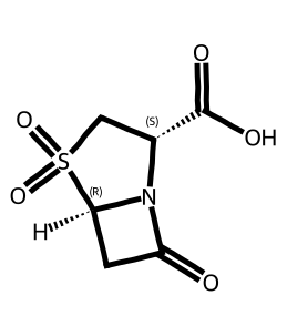 O=C(O)[C@H]1CS(=O)(=O)[C@@H]2CC(=O)N12